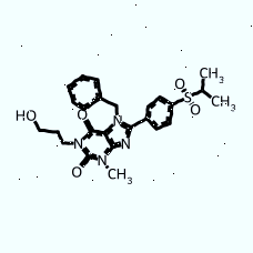 CC(C)S(=O)(=O)c1ccc(-c2nc3c(c(=O)n(CCCO)c(=O)n3C)n2Cc2ccccc2)cc1